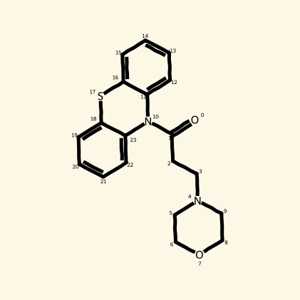 O=C(CCN1CCOCC1)N1c2c[c]ccc2Sc2ccccc21